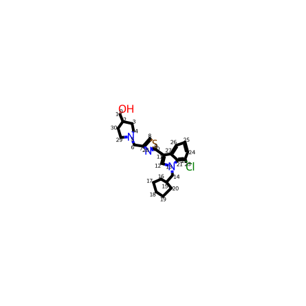 OCC1CCN(Cc2csc(-c3cn(CC4CCCCC4)c4c(Cl)cccc34)n2)CC1